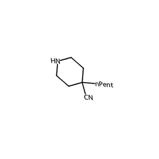 CCCCCC1(C#N)CCNCC1